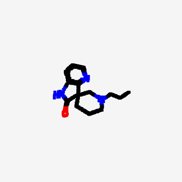 CCCN1CCCC2(C1)C(=O)Nc1cccnc12